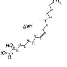 CCCCCCCC/C=C\CCCCCCC(O)C(=O)O.[NaH]